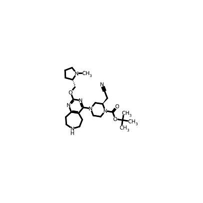 CN1CCC[C@H]1COc1nc2c(c(N3CCN(C(=O)OC(C)(C)C)[C@H](CC#N)C3)n1)CCNCC2